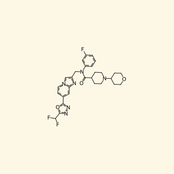 O=C(C1CCN(C2CCOCC2)CC1)N(Cc1cn2ccc(-c3nnc(C(F)F)o3)cc2n1)c1cccc(F)c1